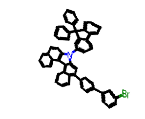 Brc1cccc(-c2ccc(-c3cc4c(c5ccccc35)c3c5ccccc5ccc3n4-c3ccc4c(c3)C(c3ccccc3)(c3ccccc3)c3ccccc3-4)cc2)c1